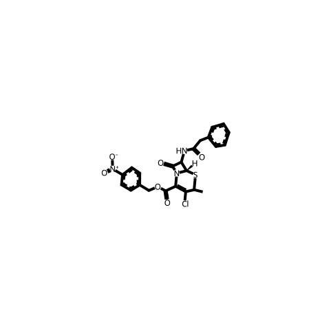 CC1S[C@H]2C(NC(=O)Cc3ccccc3)C(=O)N2C(C(=O)OCc2ccc([N+](=O)[O-])cc2)=C1Cl